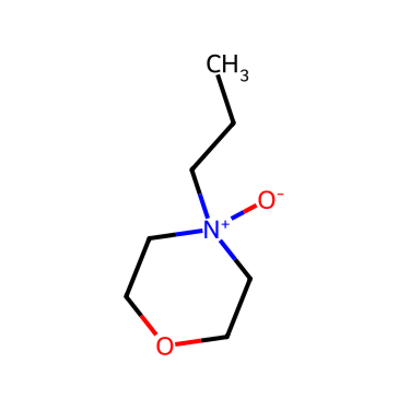 CCC[N+]1([O-])CCOCC1